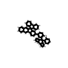 c1ccc2c(c1)Oc1ccc(-c3ccc4c(c3)C3(c5ccccc5-c5ccccc53)c3cc5ccccc5cc3-4)cc1C21c2ccccc2-c2ccccc21